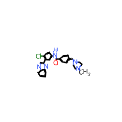 CN1CCN(Cc2ccc(C(=O)Nc3ccc(Cl)c(-c4cnc5ccccc5n4)c3)cc2)CC1